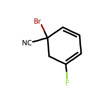 N#CC1(Br)C=CC=C(F)C1